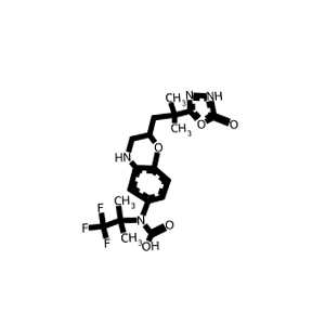 CC(C)(CC1CNc2cc(N(C(=O)O)C(C)(C)C(F)(F)F)ccc2O1)c1n[nH]c(=O)o1